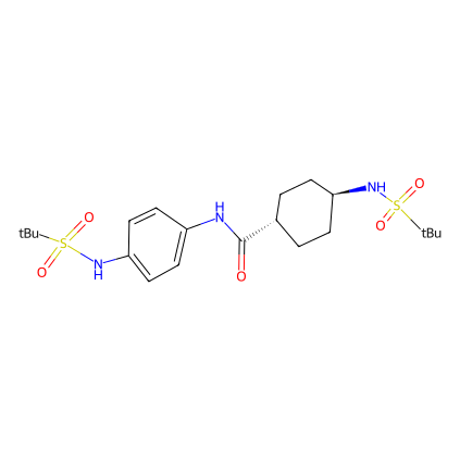 CC(C)(C)S(=O)(=O)Nc1ccc(NC(=O)[C@H]2CC[C@H](NS(=O)(=O)C(C)(C)C)CC2)cc1